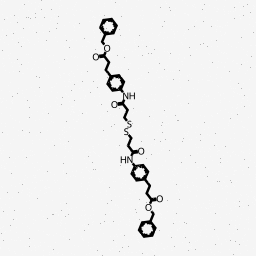 O=C(CCSSCCC(=O)Nc1ccc(CCC(=O)OCc2ccccc2)cc1)Nc1ccc(CCC(=O)OCc2ccccc2)cc1